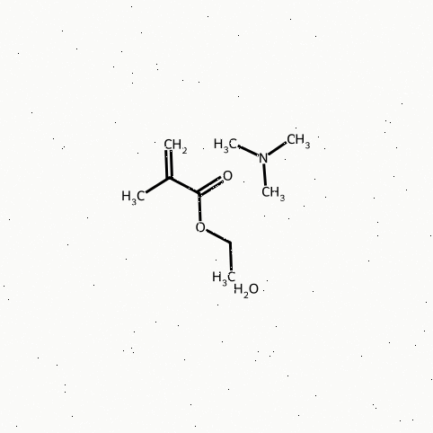 C=C(C)C(=O)OCC.CN(C)C.O